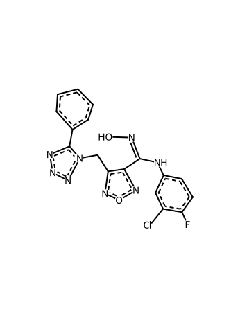 O/N=C(/Nc1ccc(F)c(Cl)c1)c1nonc1Cn1nnnc1-c1ccccc1